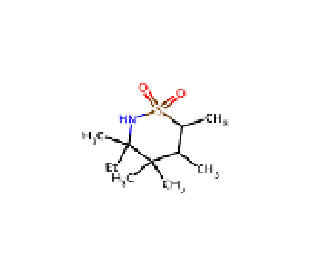 CCC1(C)NS(=O)(=O)C(C)C(C)C1(C)C